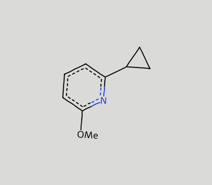 [CH2]Oc1cccc(C2CC2)n1